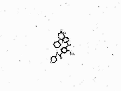 COc1cc(C(=O)NC2CCOCC2)ccc1Nc1ncc2c(n1)N(C1CCCCC1)CCC(=O)N2